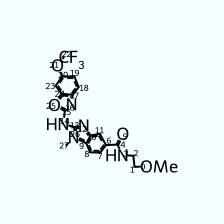 COCCNC(=O)c1ccc2c(c1)nc(Nc1nc3ccc(OC(F)(F)F)cc3o1)n2C